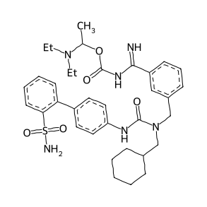 CCN(CC)C(C)OC(=O)NC(=N)c1cccc(CN(CC2CCCCC2)C(=O)Nc2ccc(-c3ccccc3S(N)(=O)=O)cc2)c1